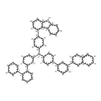 c1ccc(-c2ccccc2-c2cccc(N(c3ccc(-c4cccc(-c5ccc6ccccc6c5)c4)cc3)c3ccc(-c4cccc5sc6ccccc6c45)cc3)c2)cc1